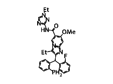 CCc1c(C(c2ccccc2F)c2ccccc2P)nc2cc(OC)c(C(=O)Nc3ncn(CC)n3)cn12